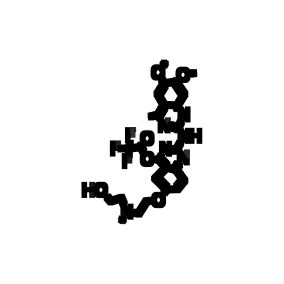 COc1cc2nc(Nc3nc(OC(=O)C(F)(F)F)c4cc(OCCN(C)CCO)ccc4n3)nc(C)c2cc1OC